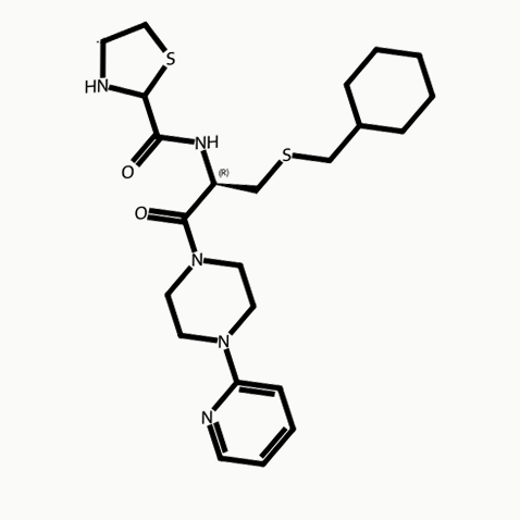 O=C(N[C@@H](CSCC1CCCCC1)C(=O)N1CCN(c2ccccn2)CC1)C1N[CH]CS1